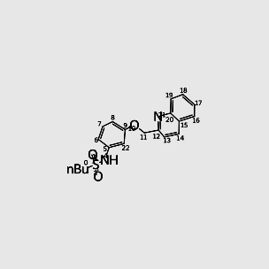 CCCCS(=O)(=O)Nc1cccc(OCc2ccc3ccccc3n2)c1